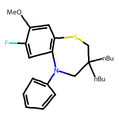 CCCCC1(CCCC)CSc2cc(OC)c(F)cc2N(c2ccccc2)C1